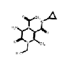 CCN1C(=O)C(N)N(C(C)=O)C(C(=O)OC2CC2)=C1C